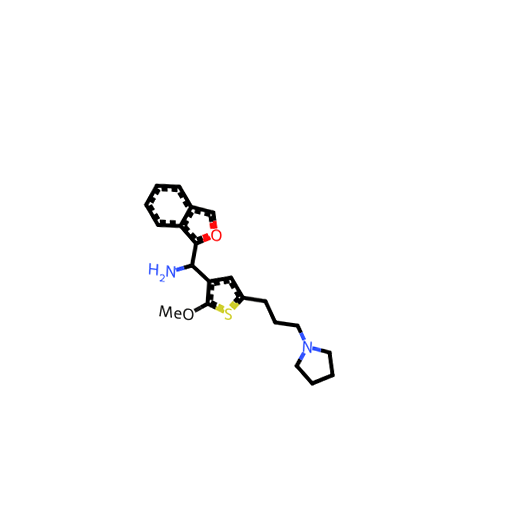 COc1sc(CCCN2CCCC2)cc1C(N)c1occ2ccccc12